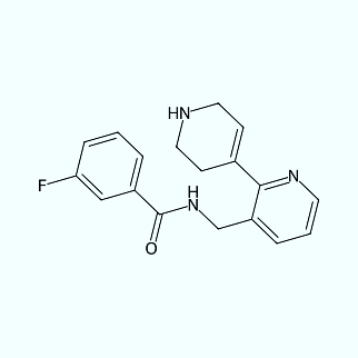 O=C(NCc1cccnc1C1=CCNCC1)c1cccc(F)c1